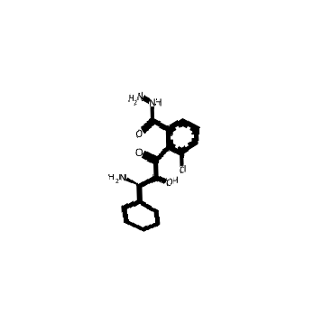 NNC(=O)c1cccc(Cl)c1C(=O)C(O)[C@H](N)C1CCCCC1